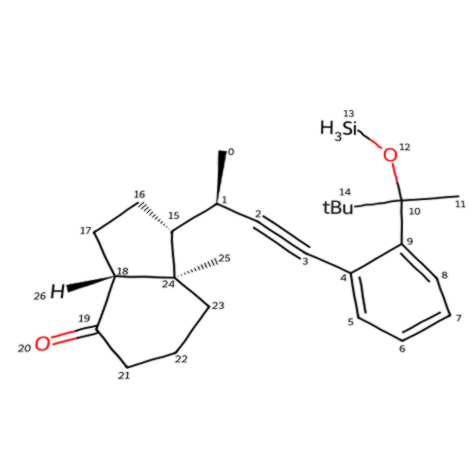 C[C@@H](C#Cc1ccccc1C(C)(O[SiH3])C(C)(C)C)[C@H]1CC[C@H]2C(=O)CCC[C@]12C